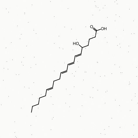 CCCCCC=CCCC=CC=CC=CC(O)CCCC(=O)O